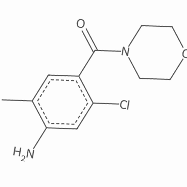 Cc1cc(C(=O)N2CCOCC2)c(Cl)cc1N